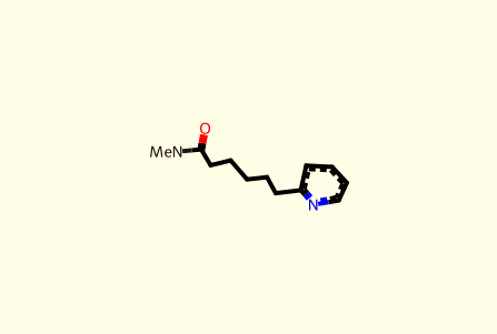 [CH2]NC(=O)CCCCCc1ccccn1